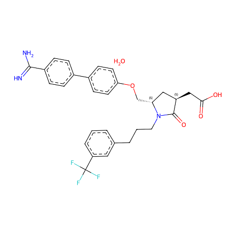 N=C(N)c1ccc(-c2ccc(OC[C@@H]3C[C@@H](CC(=O)O)C(=O)N3CCCc3cccc(C(F)(F)F)c3)cc2)cc1.O